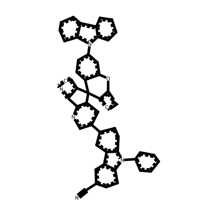 N#Cc1ccc2c(c1)c1cc(-c3cnc4c(c3)C3(c5ccccc5Oc5cc(-n6c7ccccc7c7ccccc76)ccc53)c3cccnc3-4)ccc1n2-c1ccccc1